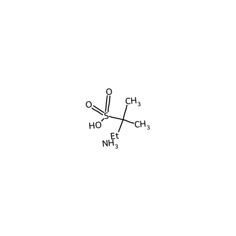 CCC(C)(C)S(=O)(=O)O.N